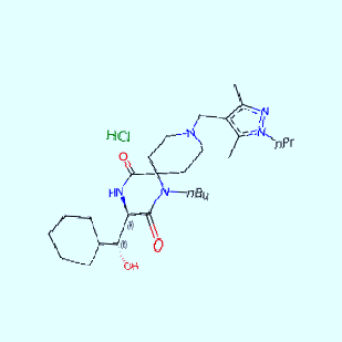 CCCCN1C(=O)[C@@H]([C@H](O)C2CCCCC2)NC(=O)C12CCN(Cc1c(C)nn(CCC)c1C)CC2.Cl